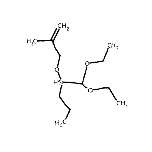 C=C(C)CO[SiH](CCC)C(OCC)OCC